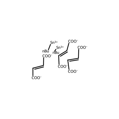 CCC[CH2][Sn+3].CCC[CH2][Sn+3].O=C([O-])C=CC(=O)[O-].O=C([O-])C=CC(=O)[O-].O=C([O-])C=CC(=O)[O-]